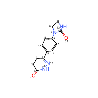 O=C1CCC(c2ccc(N3CCNC3=O)cc2)=NN1